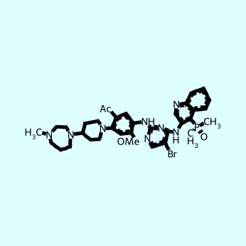 COc1cc(N2CCC(N3CCCN(C)CC3)CC2)c(C(C)=O)cc1Nc1ncc(Br)c(Nc2cnc3ccccc3c2P(C)(C)=O)n1